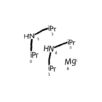 CC(C)NC(C)C.CC(C)NC(C)C.[Mg]